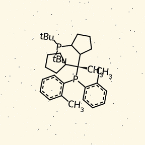 Cc1ccccc1P(c1ccccc1C)[C@](C)(C1CCCC1)C1CCCC1P(C(C)(C)C)C(C)(C)C